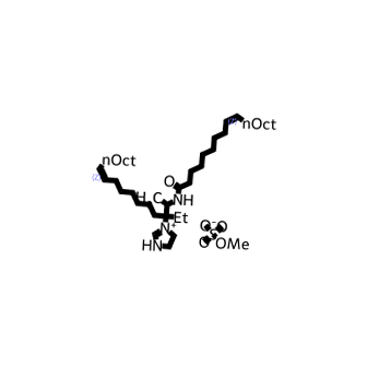 CCCCCCCC/C=C\CCCCCCCC(=O)NC(C)C(CC)(CCCCCC/C=C\CCCCCCCC)[N+]1=CNCC1.COS(=O)(=O)[O-]